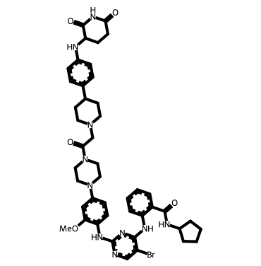 COc1cc(N2CCN(C(=O)CN3CCC(c4ccc(NC5CCC(=O)NC5=O)cc4)CC3)CC2)ccc1Nc1ncc(Br)c(Nc2ccccc2C(=O)NC2CCCC2)n1